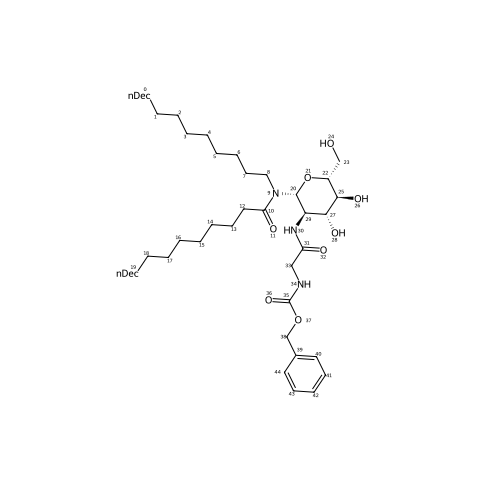 CCCCCCCCCCCCCCCCCCN(C(=O)CCCCCCCCCCCCCCCCC)[C@@H]1O[C@H](CO)[C@@H](O)[C@H](O)[C@H]1NC(=O)CNC(=O)OCc1ccccc1